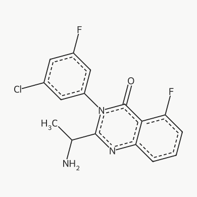 CC(N)c1nc2cccc(F)c2c(=O)n1-c1cc(F)cc(Cl)c1